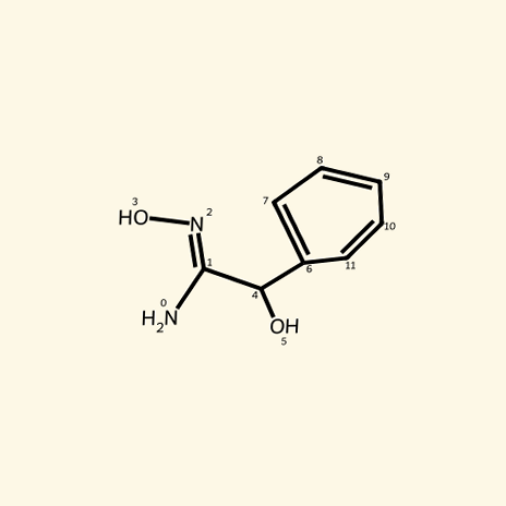 NC(=NO)C(O)c1ccccc1